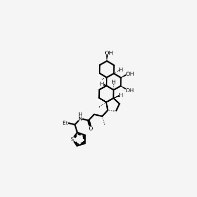 CCC(NC(=O)C[C@@H](C)[C@H]1CC[C@H]2[C@@H]3[C@H](O)[C@H](O)[C@@H]4C[C@H](O)CC[C@]4(C)[C@H]3CC[C@]12C)c1cccs1